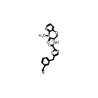 CN1C(=O)[C@@H](NC(=O)c2ncc(Cc3cccc(C#N)c3)s2)COc2cccnc21